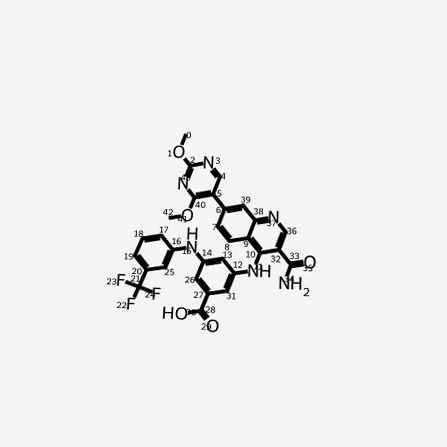 COc1ncc(-c2ccc3c(Nc4cc(Nc5cccc(C(F)(F)F)c5)cc(C(=O)O)c4)c(C(N)=O)cnc3c2)c(OC)n1